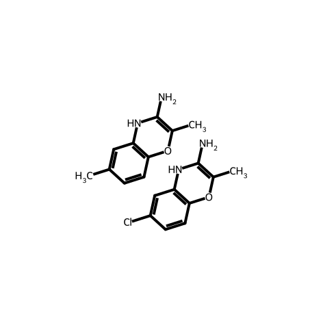 CC1=C(N)Nc2cc(C)ccc2O1.CC1=C(N)Nc2cc(Cl)ccc2O1